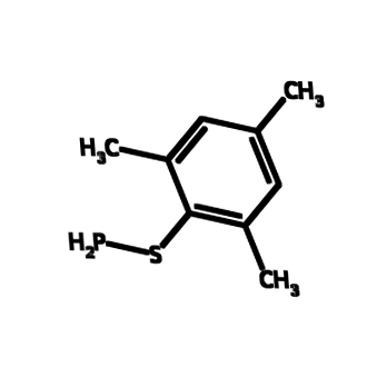 Cc1cc(C)c(SP)c(C)c1